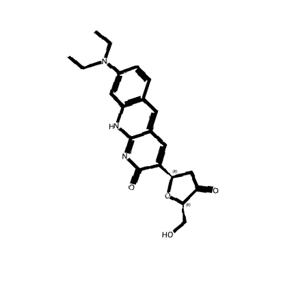 CCN(CC)c1ccc2cc3cc([C@H]4CC(=O)[C@@H](CO)O4)c(=O)nc-3[nH]c2c1